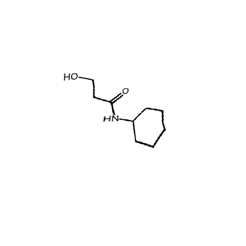 O=C(CCO)NC1CCCCC1